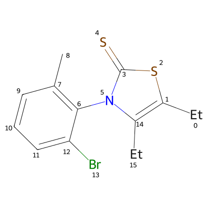 CCc1sc(=S)n(-c2c(C)cccc2Br)c1CC